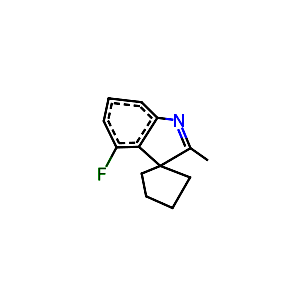 CC1=Nc2cccc(F)c2C12CCCC2